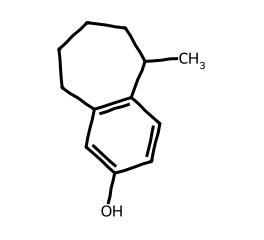 CC1CCCCc2cc(O)ccc21